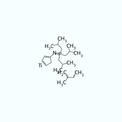 C=CC(=C)C.CC(C)CP(CC(C)C)(CC(C)C)=NC1=CC=CC1.[Ti]